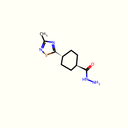 Cc1nsc([C@H]2CC[C@H](C(=O)NN)CC2)n1